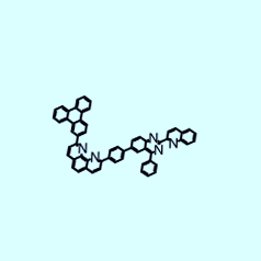 c1ccc(-c2nc(-c3ccc4ccccc4n3)nc3ccc(-c4ccc(-c5ccc6ccc7ccc(-c8ccc9c%10ccccc%10c%10ccccc%10c9c8)nc7c6n5)cc4)cc23)cc1